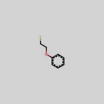 FCCOc1[c]cccc1